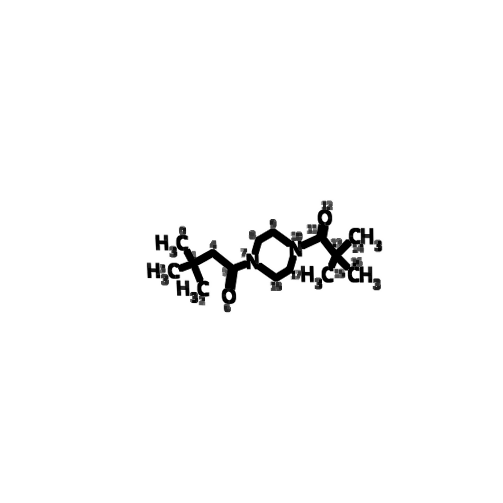 CC(C)(C)CC(=O)N1CCN(C(=O)C(C)(C)C)CC1